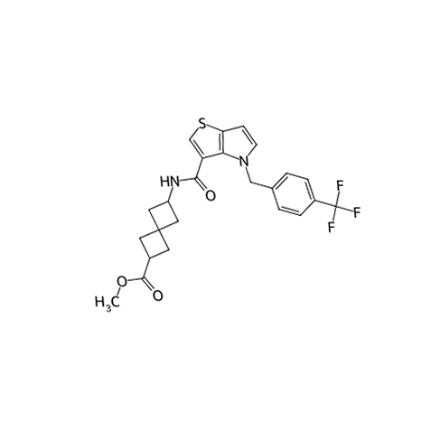 COC(=O)C1CC2(CC(NC(=O)c3csc4ccn(Cc5ccc(C(F)(F)F)cc5)c34)C2)C1